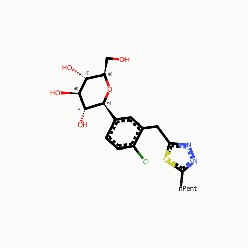 CCCCCc1nnc(Cc2cc([C@@H]3O[C@H](CO)[C@@H](O)[C@H](O)[C@H]3O)ccc2Cl)s1